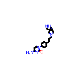 NCC12CC1CN(CCCc1ccc(-n3ccc(N)nc3=O)cc1)C2